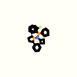 Fc1ccccc1P(c1ccccc1F)N(C1CCC1)P1[C@@H](c2ccccc2)CC[C@@H]1c1ccccc1